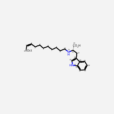 CCCCCCCC/C=C\CCCCCCCCN[C@@H](Cc1c[nH]c2ccccc12)C(=O)O